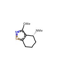 CN[C@@H]1CCCc2snc(OC)c21